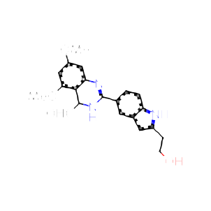 COc1cc2c(c(OC)c1)C(C=O)NC(c1ccc3[nH]c(CCO)cc3c1)=N2